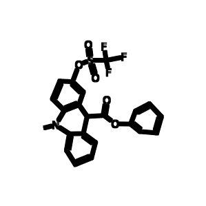 CN1c2ccccc2C(C(=O)Oc2ccccc2)c2cc(OS(=O)(=O)C(F)(F)F)ccc21